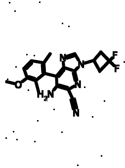 COc1ccc(C)c(-c2c(N)c(C#N)nc3c2ncn3C2CC(F)(F)C2)c1C